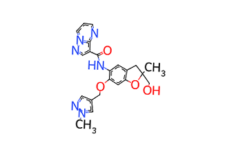 Cn1cc(COc2cc3c(cc2NC(=O)c2cnn4cccnc24)CC(C)(CO)O3)cn1